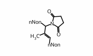 CCCCCCCCCC=C(C)C(CCCCCCCCC)N1C(=O)CCC1=O